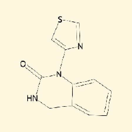 O=C1NCc2ccccc2N1c1cscn1